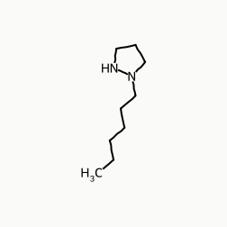 CCCCCCN1CCCN1